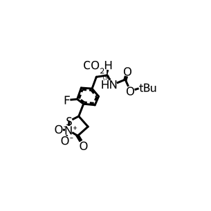 CC(C)(C)OC(=O)N[C@@H](Cc1ccc(C2CC(=O)[N+]([O-])([O-])S2)c(F)c1)C(=O)O